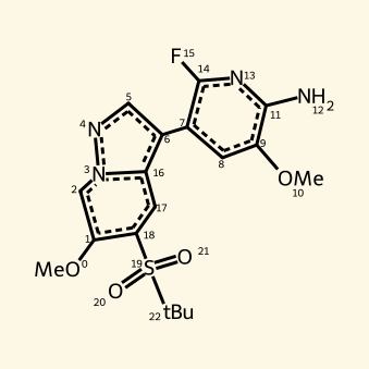 COc1cn2ncc(-c3cc(OC)c(N)nc3F)c2cc1S(=O)(=O)C(C)(C)C